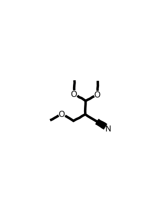 COCC(C#N)C(OC)OC